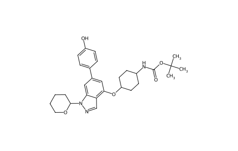 CC(C)(C)OC(=O)NC1CCC(Oc2cc(-c3ccc(O)cc3)cc3c2cnn3C2CCCCO2)CC1